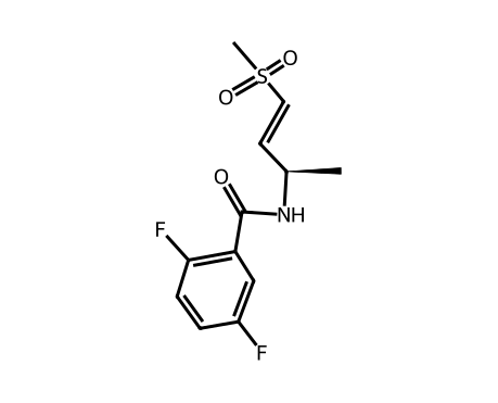 C[C@H](/C=C/S(C)(=O)=O)NC(=O)c1cc(F)ccc1F